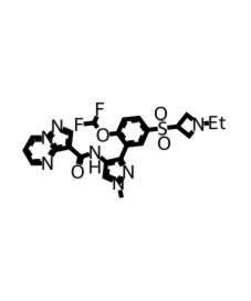 CCN1CC(S(=O)(=O)c2ccc(OC(F)F)c(-c3nn(C)cc3NC(=O)c3cnn4cccnc34)c2)C1